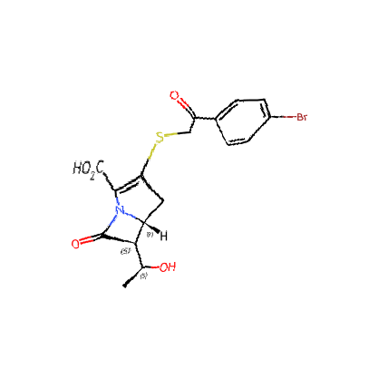 C[C@H](O)[C@H]1C(=O)N2C(C(=O)O)=C(SCC(=O)c3ccc(Br)cc3)C[C@H]12